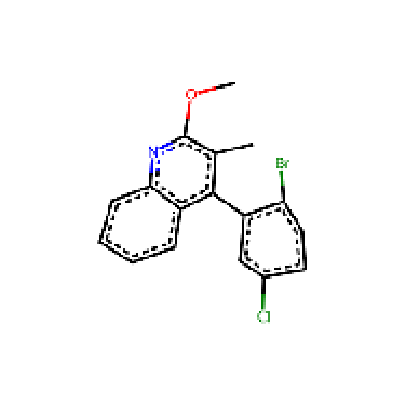 COc1nc2ccccc2c(-c2cc(Cl)ccc2Br)c1C